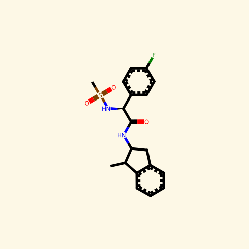 CC1c2ccccc2CC1NC(=O)[C@@H](NS(C)(=O)=O)c1ccc(F)cc1